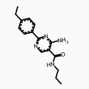 CCCNC(=O)c1cnc(-c2ccc(CC)cc2)nc1N